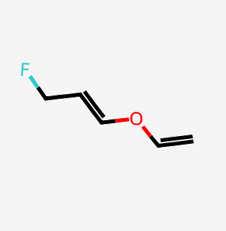 C=COC=CCF